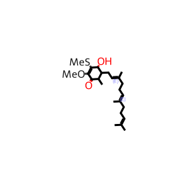 COC1=C(SC)C(O)C(C/C=C(\C)CC/C=C(\C)CCC=C(C)C)C(C)C1=O